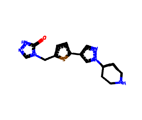 O=c1[nH]ncn1Cc1ccc(-c2cnn(C3CCNCC3)c2)s1